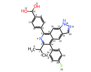 CC(C)c1nc(-c2ccc(C(O)O)cc2)c2cc3[nH]ncc3cc2c1-c1ccc(F)cc1